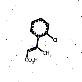 C/C(=C\C(=O)O)c1ccccc1Cl